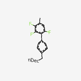 CCCCCCCCCCCc1ccc(-c2c(F)cc(C)c(F)c2F)cc1